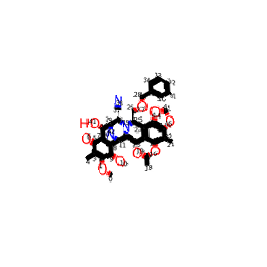 COC1=C(C)C(=O)C2=C(C1=O)C1C3=Cc4c(OC(C)=O)c(C)c5c(c4[C@H](COCc4ccccc4)N3[C@@H](C#N)C(C2O)N1C)OCO5